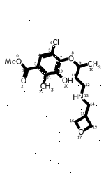 COC(=O)c1cc(Cl)c(OC(C)CCNCC2COC2)c(O)c1C